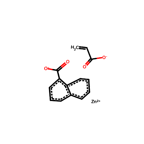 C=CC(=O)[O-].O=C([O-])c1cccc2ccccc12.[Zn+2]